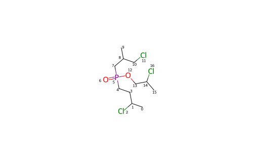 CC(Cl)CCP(=O)(CC(C)CCl)OCC(C)Cl